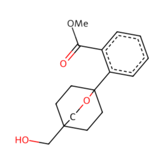 COC(=O)c1ccccc1C12CCC(CO)(CC1)CO2